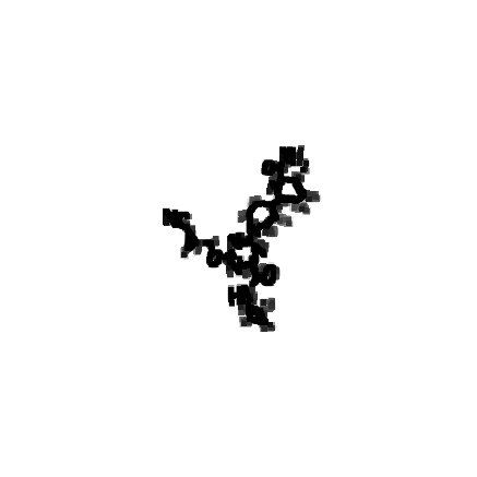 N#C[C@@H]1C[C@@H]1COc1nc(C(=O)NC23CC(C2)C3)nc(N2CCC(c3cccc(C(N)=O)n3)CC2)n1